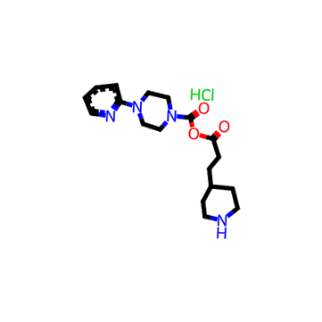 Cl.O=C(CCC1CCNCC1)OC(=O)N1CCN(c2ccccn2)CC1